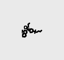 CCCCC(C)(C)c1ccc(N(C(=O)CCC)c2cnc3ccccc3c2)cc1